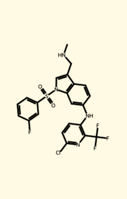 CNCc1cn(S(=O)(=O)c2cccc(F)c2)c2cc(Nc3ccc(Cl)nc3C(F)(F)F)ccc12